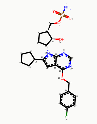 NS(=O)(=O)OC[C@@H]1CC[C@@H](n2c(C3CCCC3)cc3c(OCc4ccc(Cl)cc4)ncnc32)[C@@H]1O